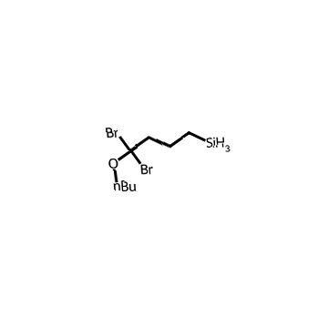 CCCCOC(Br)(Br)CCC[SiH3]